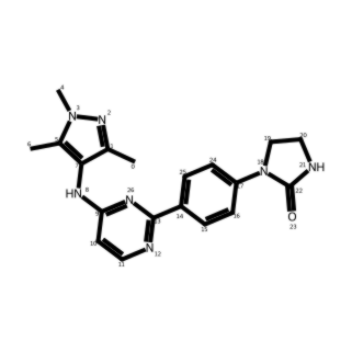 Cc1nn(C)c(C)c1Nc1ccnc(-c2ccc(N3CCNC3=O)cc2)n1